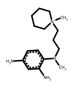 CN(CCC[N+]1(C)CCCCC1)c1ccc(N)cc1N